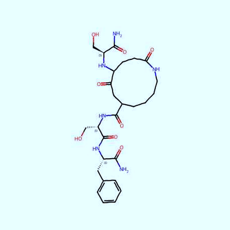 NC(=O)[C@H](Cc1ccccc1)NC(=O)[C@H](CO)NC(=O)C1CCCCNC(=O)CCC(N[C@@H](CO)C(N)=O)C(=O)C1